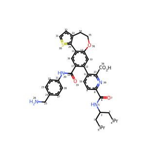 CC(C)CC(CC(C)C)NC(=O)c1ccc(-c2cc3c(cc2C(=O)Nc2ccc(CN)cc2)-c2sccc2CCO3)c(C(=O)O)n1